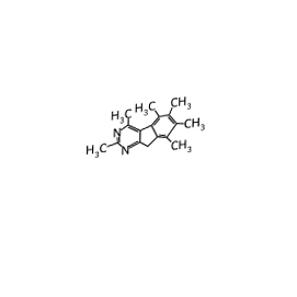 Cc1nc(C)c2c(n1)Cc1c(C)c(C)c(C)c(C)c1-2